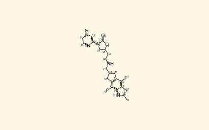 Cc1nc2c(F)c3c(c(F)c2[nH]1)CC(CNCCC1CN(C2=CNCC=N2)C(=O)O1)C3